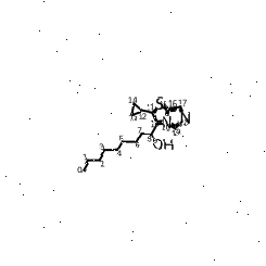 CCCCCCCCC(O)c1c(C2CC2)sc2cncn12